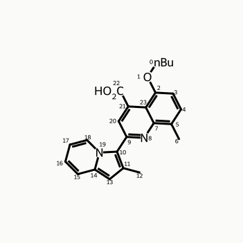 CCCCOc1ccc(C)c2nc(-c3c(C)cc4ccccn34)cc(C(=O)O)c12